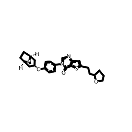 CN1[C@@H]2CC[C@H]1C[C@@H](Oc1ccc(-n3cnc4cc(CCC5CCCO5)sc4c3=O)cc1)C2